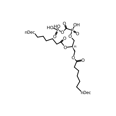 CCCCCCCCCCCCCCCC(=O)OC[C@H](COP(=O)(O)C(=O)OP(=O)(O)O)OC(=O)CCCCCCCCCCCCCCC